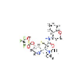 CN(C)c1c(C(=O)NC2CCOc3ccccc32)sc2c(OS(=O)(=O)C(F)(F)F)ccnc12